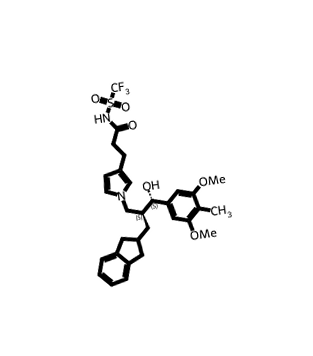 COc1cc([C@@H](O)[C@@H](CC2Cc3ccccc3C2)Cn2ccc(CCC(=O)NS(=O)(=O)C(F)(F)F)c2)cc(OC)c1C